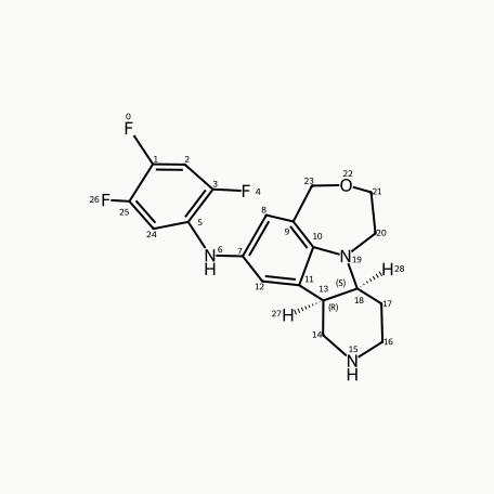 Fc1cc(F)c(Nc2cc3c4c(c2)[C@@H]2CNCC[C@@H]2N4CCOC3)cc1F